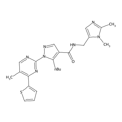 CCCCc1c(C(=O)NCc2cnc(C)n2C)cnn1-c1ncc(C)c(-c2cccs2)n1